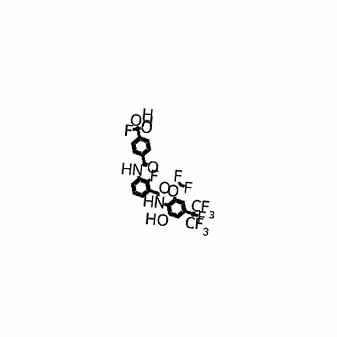 O=C(Nc1cccc(C(=O)Nc2c(O)cc(C(F)(C(F)(F)F)C(F)(F)F)cc2OC(F)F)c1F)c1ccc(C(O)(O)F)cc1